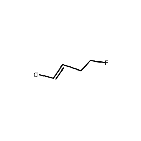 FCCC=CCl